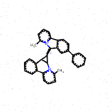 Cc1cccc2[n+]1/C(=C1\C3c4ccccc4-c4cccc(C)[n+]4C13)c1cc(-c3ccccc3)ccc1-2